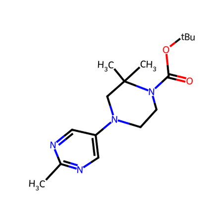 Cc1ncc(N2CCN(C(=O)OC(C)(C)C)C(C)(C)C2)cn1